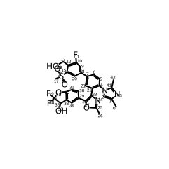 Cc1cn(-c2ccc(-c3cc(F)c(CO)c(S(C)(=O)=O)c3)cc2-c2nc(C)oc2-c2ccc3c(c2)C(O)C(F)(F)O3)c(C)n1